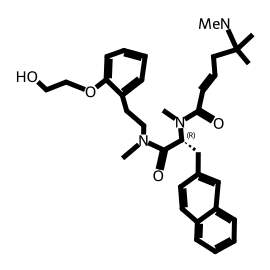 CNC(C)(C)CC=CC(=O)N(C)[C@H](Cc1ccc2ccccc2c1)C(=O)N(C)CCc1ccccc1OCCO